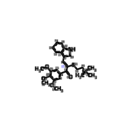 COc1cc(C(=O)/C(=C/c2c[nH]c3ccccc23)SCC[Si](C)(C)C)cc(OC)c1OC